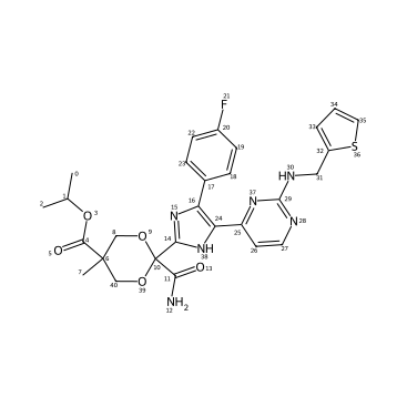 CC(C)OC(=O)C1(C)COC(C(N)=O)(c2nc(-c3ccc(F)cc3)c(-c3ccnc(NCc4cccs4)n3)[nH]2)OC1